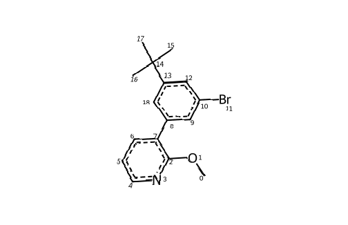 COc1ncccc1-c1cc(Br)cc(C(C)(C)C)c1